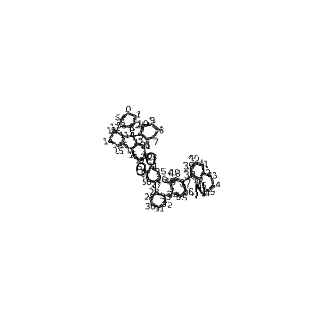 c1ccc(C2(c3ccccc3)c3ccccc3-c3cc4c(cc32)Oc2ccc(-c3ccccc3-c3ccc(-c5cccc6cccnc56)cc3)cc2O4)cc1